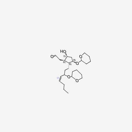 CCC/C=C\C(CC[C@@H]1[C@@H](CC=O)[C@@H](O)C[C@H]1OC1CCCCO1)OC1CCCCO1